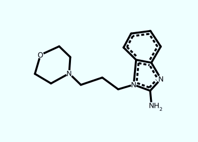 Nc1nc2ccccc2n1CCCN1CCOCC1